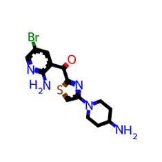 Nc1ncc(Br)cc1C(=O)c1nc(N2CCC(N)CC2)cs1